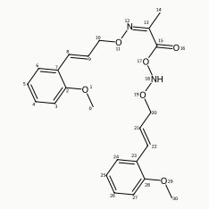 COc1ccccc1/C=C/CON=C(C)C(=O)ONOC/C=C/c1ccccc1OC